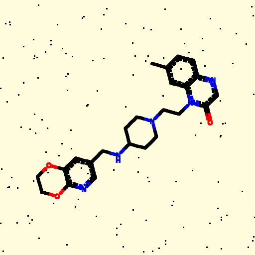 Cc1ccc2ncc(=O)n(CCN3CCC(NCc4cnc5c(c4)OCCO5)CC3)c2c1